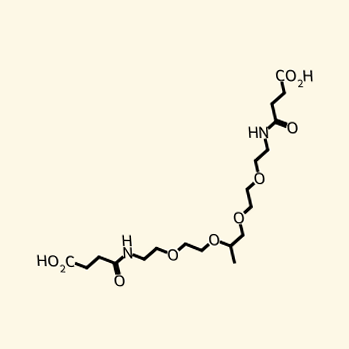 CC(COCCOCCNC(=O)CCC(=O)O)OCCOCCNC(=O)CCC(=O)O